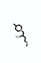 CSCCC(N)CN1CCC(C)CC1